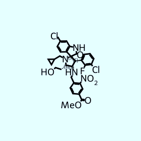 COC(=O)c1ccc(CN[C@@H]2[C@H](CCO)N(CC3CC3)[C@@]3(C(=O)Nc4cc(Cl)ccc43)[C@H]2c2cccc(Cl)c2F)c([N+](=O)[O-])c1